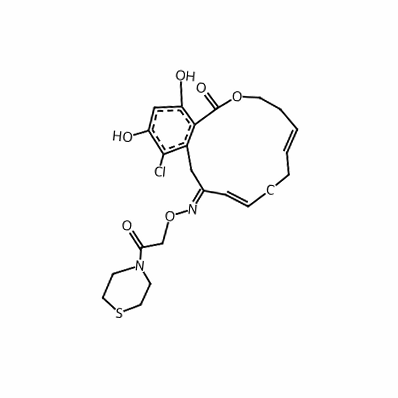 O=C1OCC/C=C/CC/C=C/C(=N/OCC(=O)N2CCSCC2)Cc2c(Cl)c(O)cc(O)c21